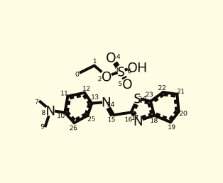 CCOS(=O)(=O)O.CN(C)c1ccc(N=Cc2nc3ccccc3s2)cc1